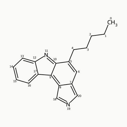 CCCCCc1cc2c(c3c1=Nc1ccccc1-3)C=NC=2